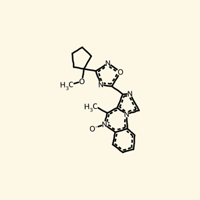 COC1(c2noc(-c3ncn4c3c(C)[n+]([O-])c3ccccc34)n2)CCCC1